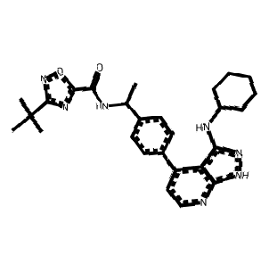 CC(NC(=O)c1nc(C(C)(C)C)no1)c1ccc(-c2ccnc3[nH]nc(NC4CCCCC4)c23)cc1